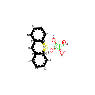 [O-][Cl+3]([O-])([O-])[O-].c1ccc2[s+]c3ccccc3cc2c1